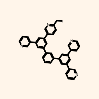 ICc1ccc(-c2cc(-c3cccnc3)cc(-c3cccc(-c4cc(-c5cccnc5)cc(-c5cccnc5)c4)c3)c2)cn1